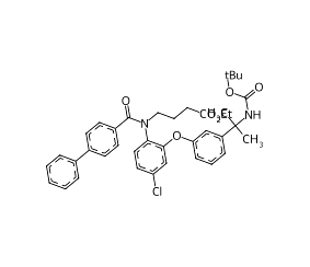 CCOC(=O)CCCN(C(=O)c1ccc(-c2ccccc2)cc1)c1ccc(Cl)cc1Oc1cccc(C(C)(C)NC(=O)OC(C)(C)C)c1